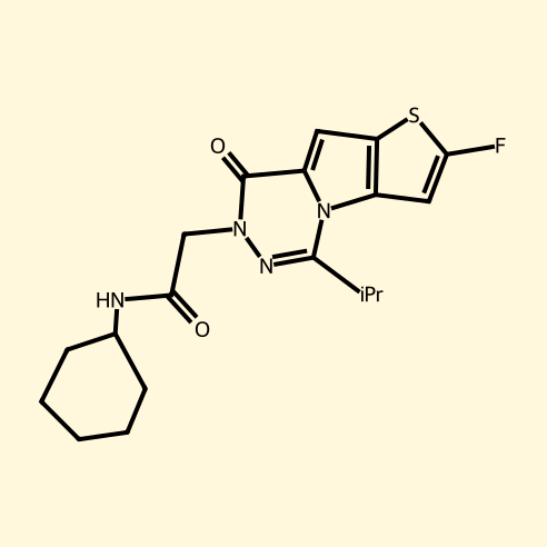 CC(C)c1nn(CC(=O)NC2CCCCC2)c(=O)c2cc3sc(F)cc3n12